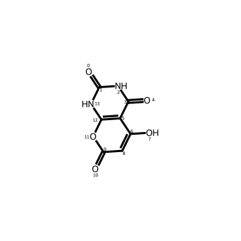 O=c1[nH]c(=O)c2c(O)cc(=O)oc2[nH]1